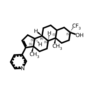 C[C@]12CC[C@@](O)(C(F)(F)F)CC1CC[C@@H]1[C@@H]2CC[C@]2(C)C(c3cccnc3)=CC[C@@H]12